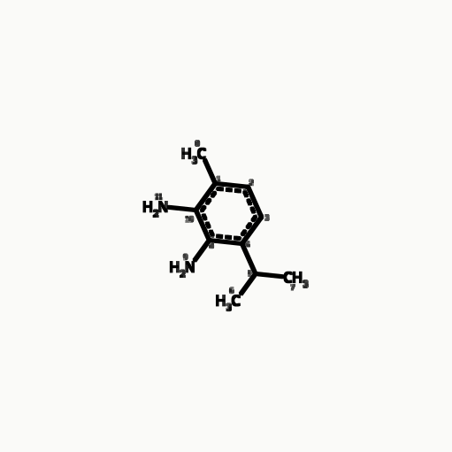 Cc1ccc(C(C)C)c(N)c1N